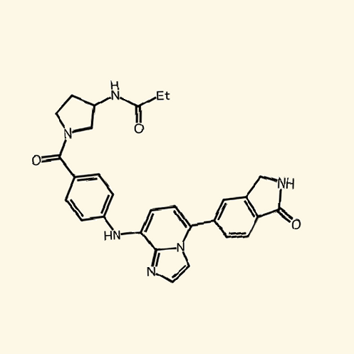 CCC(=O)NC1CCN(C(=O)c2ccc(Nc3ccc(-c4ccc5c(c4)CNC5=O)n4ccnc34)cc2)C1